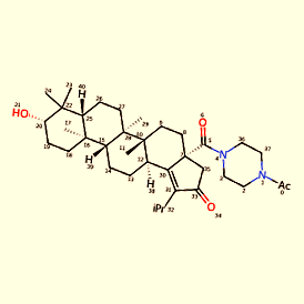 CC(=O)N1CCN(C(=O)[C@@]23CC[C@]4(C)[C@H](CC[C@@H]5[C@@]6(C)CC[C@H](O)C(C)(C)[C@@H]6CC[C@]54C)C2=C(C(C)C)C(=O)C3)CC1